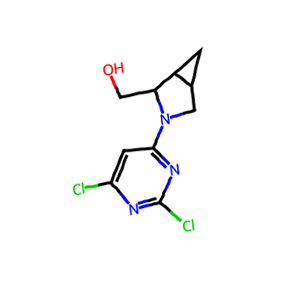 OCC1C2CC2CN1c1cc(Cl)nc(Cl)n1